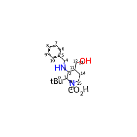 CC(C)(C)C1C(NCc2ccccc2)C(CO)CCN1C(=O)O